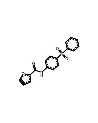 O=C(Nc1ccc(S(=O)(=O)c2ccccc2)cc1)c1cc#co1